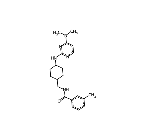 Cc1cccc(C(=O)NCC2CCC(Nc3nccc(N(C)C)n3)CC2)c1